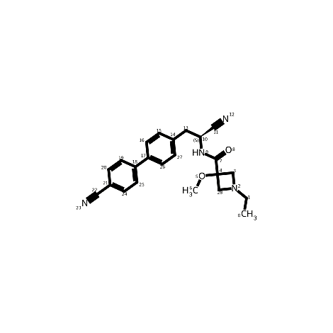 CCN1CC(OC)(C(=O)N[C@H](C#N)Cc2ccc(-c3ccc(C#N)cc3)cc2)C1